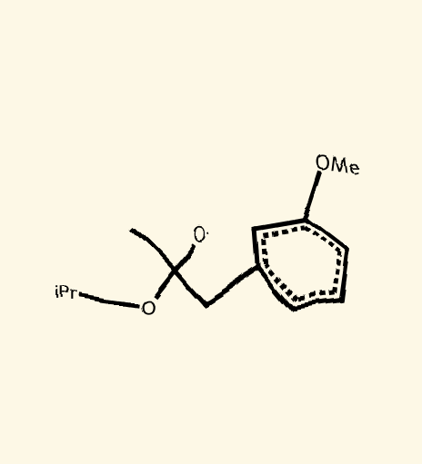 COc1cccc(CC(C)([O])OC(C)C)c1